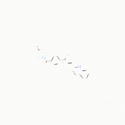 O=C1CCN(C(=O)c2ccc(C(=O)/C=C/c3ccc4ccccc4n3)cc2)CC1